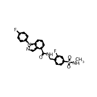 CNS(=O)(=O)c1ccc(CNC(=O)c2cccc3c2cnn3-c2ccc(F)cc2)c(F)c1